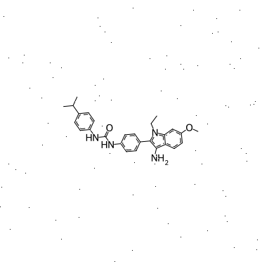 CCn1c(-c2ccc(NC(=O)Nc3ccc(C(C)C)cc3)cc2)c(N)c2ccc(OC)cc21